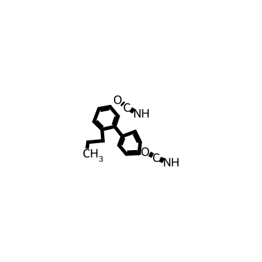 CCCc1ccccc1-c1ccccc1.N=C=O.N=C=O